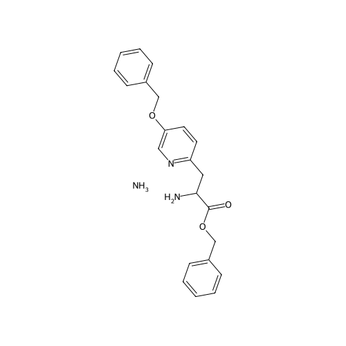 N.NC(Cc1ccc(OCc2ccccc2)cn1)C(=O)OCc1ccccc1